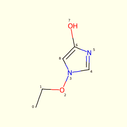 CCOn1cnc(O)c1